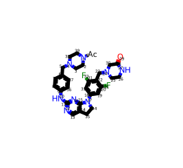 CC(=O)N1CCN(Cc2ccc(Nc3ncc4c(n3)N(c3cc(F)c(CN5CCNC(=O)C5)c(F)c3)CC4)cc2)CC1